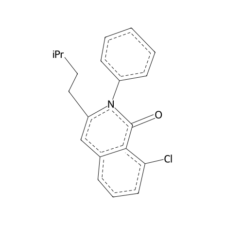 CC(C)CCc1cc2cccc(Cl)c2c(=O)n1-c1ccccc1